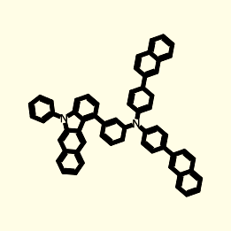 C1=CC(c2cccc3c2c2cc4ccccc4cc2n3-c2ccccc2)=CC(N(C2=CCC(c3ccc4ccccc4c3)C=C2)c2ccc(-c3ccc4ccccc4c3)cc2)C1